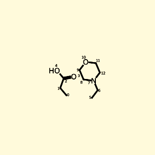 CCC(=O)O.CCN1CCOCC1